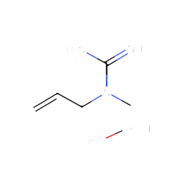 C=CCN(C)C(=N)N.O=S(=O)(O)O